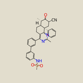 Cc1nc(-c2cccc(-c3cccc(NS(C)(=O)=O)c3)c2)c2c(n1)[C@]1(c3ccccc3)CC(C#N)C(=O)[C@@H](C)[C@@H]1CC2